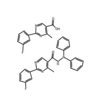 Cc1nc(-c2cccc(F)c2)ncc1C(=O)NN(c1ccccc1)c1ccccc1.Cc1nc(-c2cccc(F)c2)ncc1C(=O)O